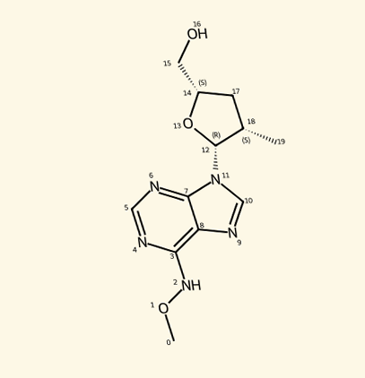 CONc1ncnc2c1ncn2[C@@H]1O[C@H](CO)C[C@@H]1C